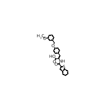 COc1cccc(COc2ccc(/C=C(/NC(=O)c3cc4ccccc4s3)C(=O)O)cc2)c1